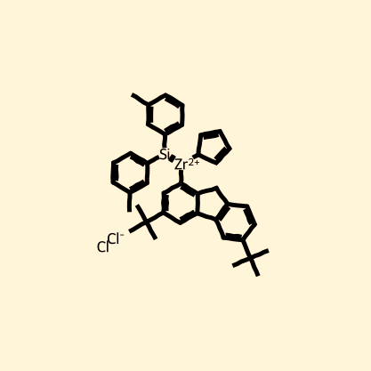 Cc1cccc([Si](c2cccc(C)c2)=[Zr+2]([c]2cc(C(C)(C)C)cc3c2Cc2ccc(C(C)(C)C)cc2-3)[CH]2C=CC=C2)c1.[Cl-].[Cl-]